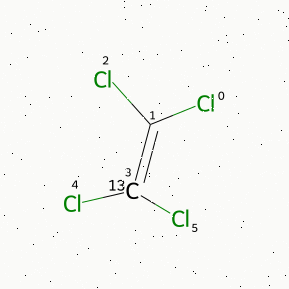 ClC(Cl)=[13C](Cl)Cl